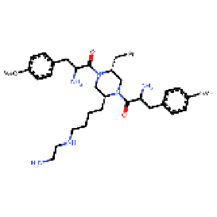 COc1ccc(CC(N)C(=O)N2C[C@H](CCCCNCCN)N(C(=O)C(N)Cc3ccc(OC)cc3)C[C@H]2CC(C)C)cc1